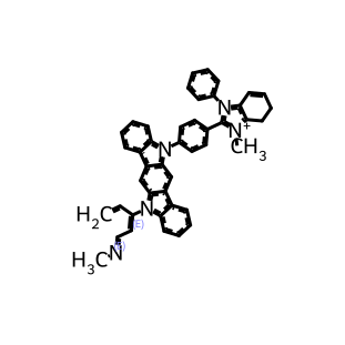 C=C/C(=C\C=N\C)n1c2ccccc2c2cc3c(cc21)c1ccccc1n3-c1ccc(-c2n(-c3ccccc3)c3c([n+]2C)CCC=C3)cc1